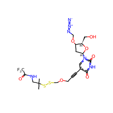 CC(C)(CNC(=O)C(F)(F)F)SSCOCC#Cc1cn([C@H]2CC(OCN=[N+]=[N-])[C@@H](CO)O2)c(=O)[nH]c1=O